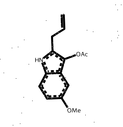 C=CCc1[nH]c2ccc(OC)cc2c1OC(C)=O